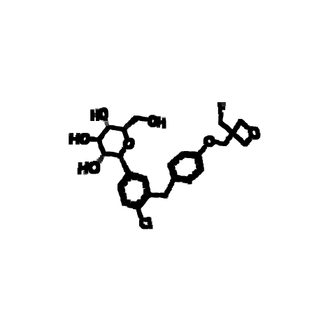 OC[C@H]1O[C@@H](c2ccc(Cl)c(Cc3ccc(OCC4(CF)COC4)cc3)c2)[C@H](O)[C@@H](O)[C@@H]1O